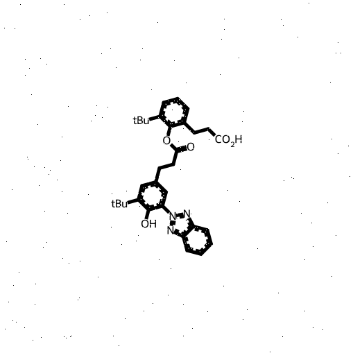 CC(C)(C)c1cc(CCC(=O)Oc2c(CCC(=O)O)cccc2C(C)(C)C)cc(-n2nc3ccccc3n2)c1O